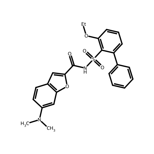 CCOc1cccc(-c2ccccc2)c1S(=O)(=O)NC(=O)c1cc2ccc(N(C)C)cc2o1